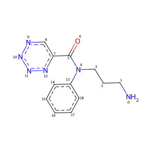 NCCCN(C(=O)c1cnnnn1)c1ccccc1